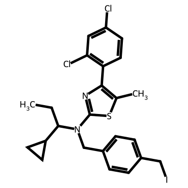 CCC(C1CC1)N(Cc1ccc(CI)cc1)c1nc(-c2ccc(Cl)cc2Cl)c(C)s1